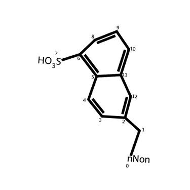 CCCCCCCCCCc1ccc2c(S(=O)(=O)O)cccc2c1